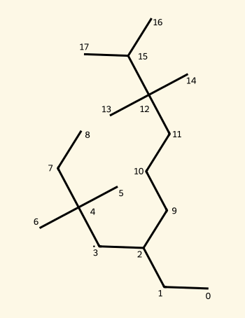 CCC([CH]C(C)(C)CC)CCCC(C)(C)C(C)C